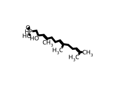 CC(C)=CCC/C(C)=C/CC/C(C)=C/C(O)C[PH](=O)O